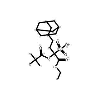 CCOC(=O)C(CCC12CC3CC(CC(C3)C1)C2)(OC(=O)C(C)(C)C)S(=O)(=O)O